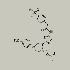 CCS(=O)(=O)c1ccc(CC(=O)Nc2cnc(N3C[C@@H](c4ccc(C(F)(F)F)cc4)CC[C@H]3COC(F)F)s2)cc1